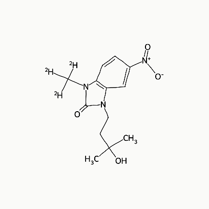 [2H]C([2H])([2H])n1c(=O)n(CCC(C)(C)O)c2cc([N+](=O)[O-])ccc21